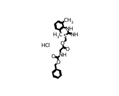 Cc1cccc(C)c1NC(=N)SCOC(=O)CNC(=O)OCc1ccccc1.Cl